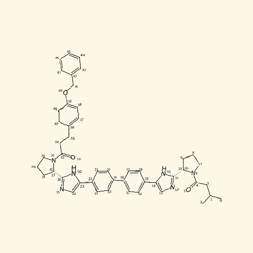 CC(C)CC(=O)N1CCC[C@H]1c1ncc(-c2ccc(-c3ccc(-c4cnc([C@@H]5CCCN5C(=O)CCC5=CC=C(OCc6ccccc6)CC5)[nH]4)cc3)cc2)[nH]1